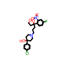 O=[N+]([O-])c1cc(F)ccc1C1(CCCN2CCC(O)(c3ccc(Cl)cc3)CC2)CCOO1